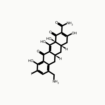 NCc1cc(I)c(O)c2c1C[C@H]1C[C@H]3CC(O)=C(C(N)=O)C(=O)[C@@]3(O)C(O)=C1C2=O